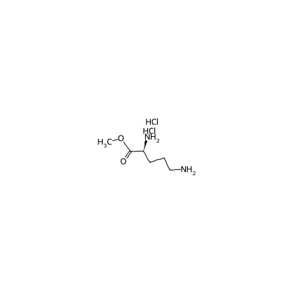 COC(=O)[C@@H](N)CCCN.Cl.Cl